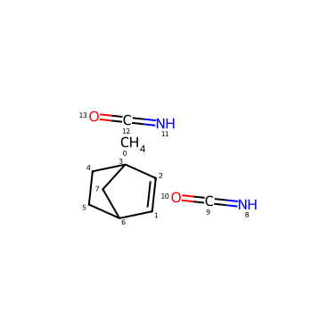 C.C1=CC2CCC1C2.N=C=O.N=C=O